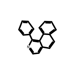 c1ccc(-c2nccc3ccc4ccccc4c23)cc1